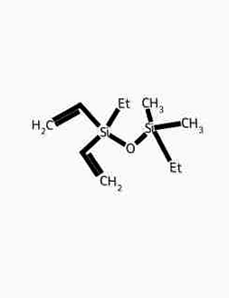 C=C[Si](C=C)(CC)O[Si](C)(C)CC